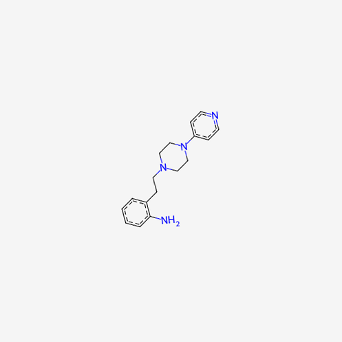 Nc1ccccc1CCN1CCN(c2ccncc2)CC1